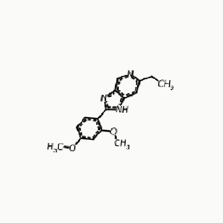 CCc1cc2[nH]c(-c3ccc(OC)cc3OC)nc2cn1